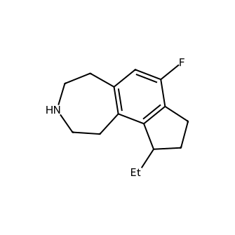 CCC1CCc2c(F)cc3c(c21)CCNCC3